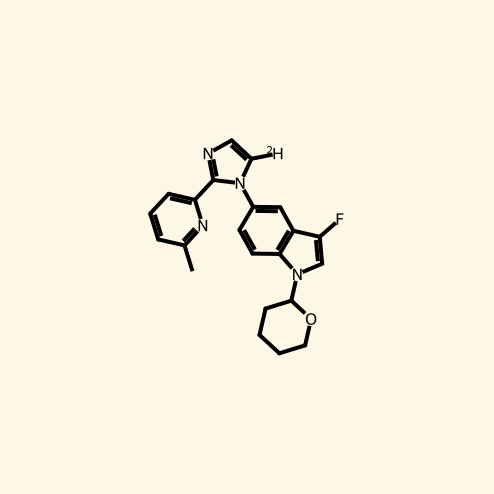 [2H]c1cnc(-c2cccc(C)n2)n1-c1ccc2c(c1)c(F)cn2C1CCCCO1